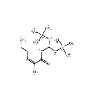 CC(=CCC[SiH3])C(=O)OC(O[Si](C)(C)C)O[Si](C)(C)C